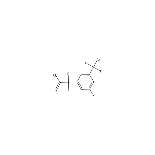 CC(=O)C(F)(F)c1cc(C)cc(C(F)(F)C(=O)Cl)c1